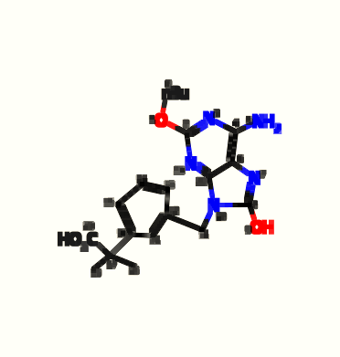 CCCCOc1nc(N)c2nc(O)n(Cc3cccc(C(C)(C)C(=O)O)c3)c2n1